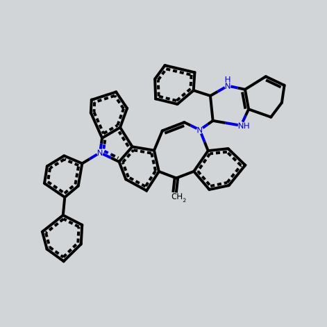 C=C1c2ccccc2N(C2NC3=C(C=CCC3)NC2c2ccccc2)/C=C\c2c1ccc1c2c2ccccc2n1-c1cccc(-c2ccccc2)c1